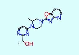 CC1CN(c2nc3ncccc3o2)CCN1c1ccnc([C@@H](C)O)n1